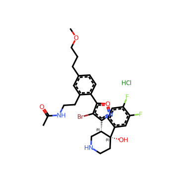 COCCCc1ccc(-c2onc([C@H]3CNCC[C@]3(O)c3ccc(F)c(F)c3)c2Br)c(CCNC(C)=O)c1.Cl